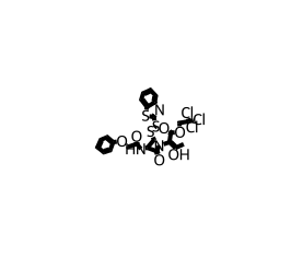 C/C(O)=C(\C(=O)OCC(Cl)(Cl)Cl)N1C(=O)C(NC(=O)COc2ccccc2)C1SSc1nc2ccccc2s1